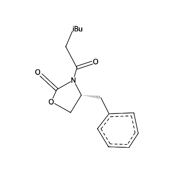 CCC(C)CC(=O)N1C(=O)OC[C@H]1Cc1ccccc1